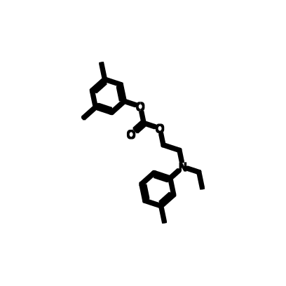 CCN(CCOC(=O)Oc1cc(C)cc(C)c1)c1cccc(C)c1